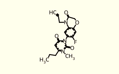 C#CCN1C(=O)COc2cc(F)c(-n3c(=O)cc(CCC)n(C)c3=O)cc21